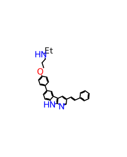 CCNCCCOc1ccc(-c2ccc3[nH]c4ncc(/C=C/c5ccccc5)cc4c3c2)cc1